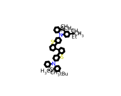 CCC(C)(C)c1ccc2c(c1)[Si](C)(C)c1ccccc1N2c1ccc2c(c1)sc1cccc(-c3cccc4sc5cc(N6c7ccccc7[Si](C)(C)c7cc(C(C)(C)C)ccc76)ccc5c34)c12